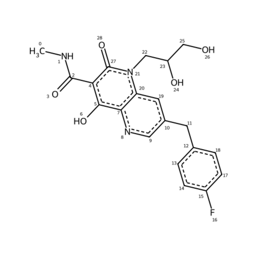 CNC(=O)c1c(O)c2ncc(Cc3ccc(F)cc3)cc2n(CC(O)CO)c1=O